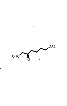 CC(=O)OCCCCC(=O)C[C]=O